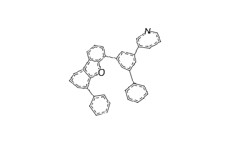 c1ccc(-c2cc(-c3cccnc3)cc(-c3cccc4c3oc3c(-c5ccccc5)cccc34)c2)cc1